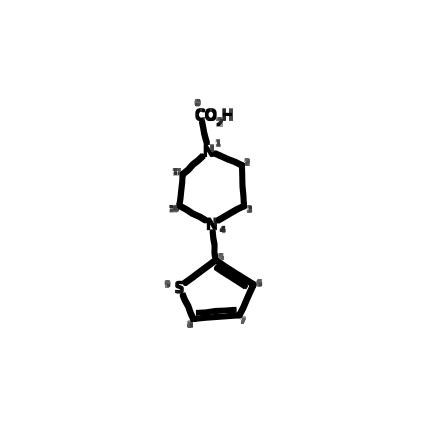 O=C(O)N1CCN(c2cccs2)CC1